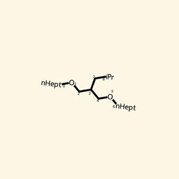 CCCCCCCOCC(COCCCCCCC)CC(C)C